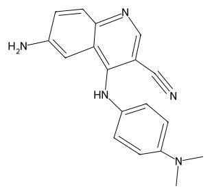 CN(C)c1ccc(Nc2c(C#N)cnc3ccc(N)cc23)cc1